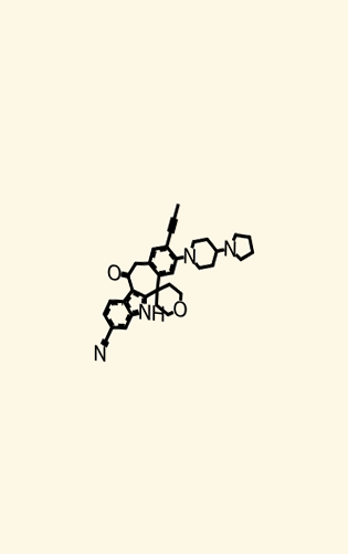 CC#Cc1cc2c(cc1N1CCC(N3CCCC3)CC1)C1(CCOCC1)c1[nH]c3cc(C#N)ccc3c1C(=O)C2